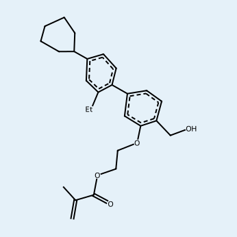 C=C(C)C(=O)OCCOc1cc(-c2ccc(C3CCCCC3)cc2CC)ccc1CO